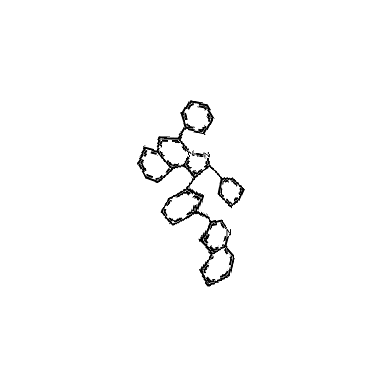 c1ccc(-c2nn3c(-c4ccccc4)cc4ccccc4c3c2-c2cccc(-c3cnc4ccccc4c3)c2)cc1